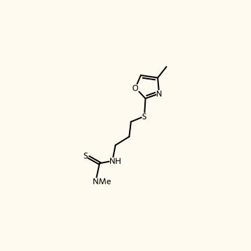 CNC(=S)NCCCSc1nc(C)co1